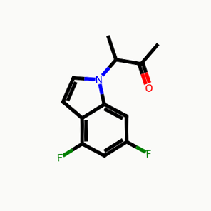 CC(=O)C(C)n1ccc2c(F)cc(F)cc21